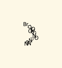 O=C(C1CCN(c2ccncn2)CC1)N1C=CN(S(=O)(=O)c2ccc(Br)cc2)C=CC1